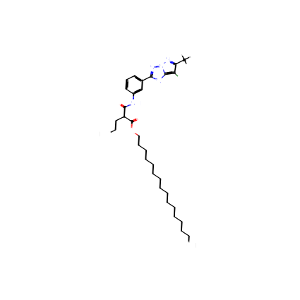 CCCCCCCCCCCCCCCCOC(=O)C(CCC)C(=O)Nc1cccc(-c2nn3nc(C(C)(C)C)c(Cl)c3[nH]2)c1